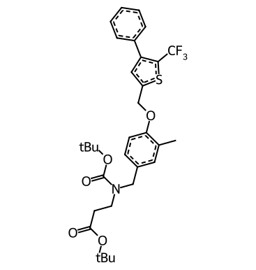 Cc1cc(CN(CCC(=O)OC(C)(C)C)C(=O)OC(C)(C)C)ccc1OCc1cc(-c2ccccc2)c(C(F)(F)F)s1